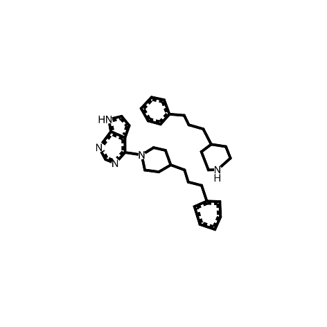 c1ccc(CCCC2CCN(c3ncnc4[nH]ccc34)CC2)cc1.c1ccc(CCCC2CCNCC2)cc1